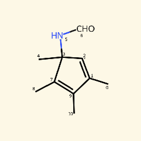 CC1=[C]C(C)(NC=O)C(C)=C1C